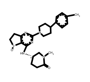 Cc1ccc(C2CCN(c3nc4c(c(N[C@H]5CCC(=O)N(C)C5)n3)[S+]([O-])CC4)CC2)cc1